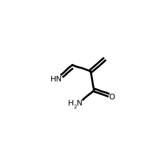 C=C(C=N)C(N)=O